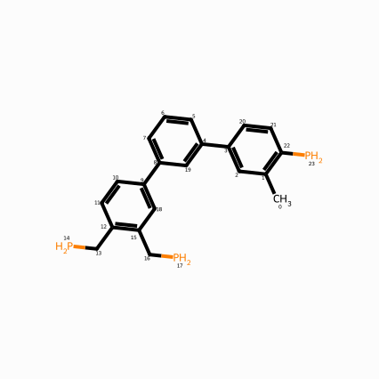 Cc1cc(-c2cccc(-c3ccc(CP)c(CP)c3)c2)ccc1P